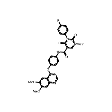 COc1cc2ncnc(Oc3ccc(NC(=O)c4cn(C(C)C)c(=O)n(-c5ccc(F)cc5)c4=O)cc3)c2cc1OC